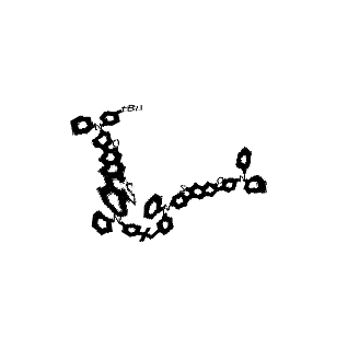 CC(C)(C)c1ccc(N(c2ccccc2)c2ccc3c(c2)oc2cc4cc5sc6cc(N(c7ccccc7)c7ccc(C(C)(C)Cc8cccc(N(c9ccccc9)c9ccc%10c(c9)sc9cc%11cc%12oc%13cc(N(c%14ccccc%14)c%14ccccc%14)ccc%13c%12cc%11cc9%10)c8)cc7)ccc6c5cc4cc23)cc1